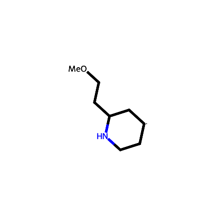 COCCC1C[CH]CCN1